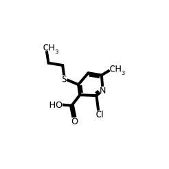 CCCSc1cc(C)nc(Cl)c1C(=O)O